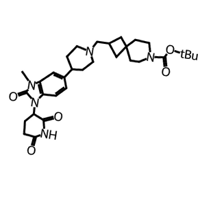 Cn1c(=O)n(C2CCC(=O)NC2=O)c2ccc(C3CCN(CC4CC5(CCN(C(=O)OC(C)(C)C)CC5)C4)CC3)cc21